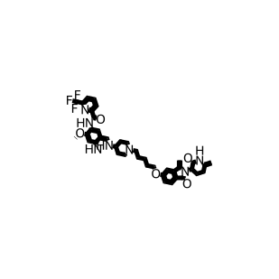 C=C1CCC(N2C(=C)c3cc(OCCCCCN4CCC(N/C=C5/C=C(NC(=O)c6cccc(C(F)(F)F)n6)C(OC)=CC5=N)CC4)ccc3C2=O)C(=O)N1